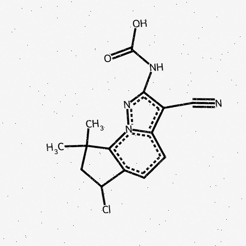 CC1(C)CC(Cl)c2ccc3c(C#N)c(NC(=O)O)nn3c21